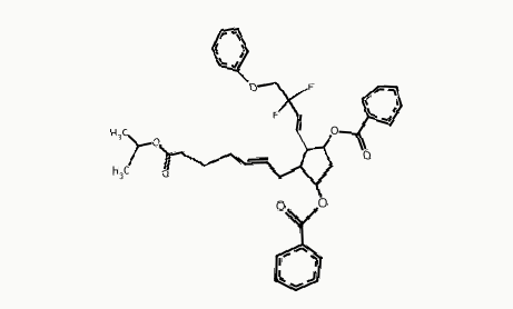 CC(C)OC(=O)CCCC=CCC1C(OC(=O)c2ccccc2)CC(OC(=O)c2ccccc2)C1C=CC(F)(F)COc1ccccc1